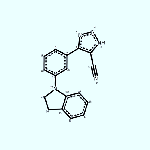 N#Cc1[nH]nnc1-c1cccc(N2CCc3ccccc32)c1